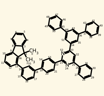 CC1(C)c2ccccc2-c2cccc(-c3cccc(-c4ccc(-c5nc(-c6ccccc6)cc(-c6cc(-c7ccccc7)cc(-c7ccccc7)c6)n5)cc4)c3)c21